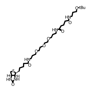 CC(C)(C)OCCCNC(=O)CCCC(=O)NCCCOCCOCCOCCCNC(=O)CCCC[C@@H]1SC[C@@H]2NC(=O)N[C@@H]21